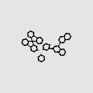 c1ccc(N(c2ccc3c(c2)C2(c4ccccc4-c4ccccc42)c2ccccc2-3)c2ccc3oc4c(-c5ccc6ccccc6c5)c5ccccc5cc4c3c2)cc1